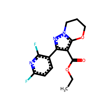 CCOC(=O)c1c(-c2ccc(F)nc2F)nn2c1OCCC2